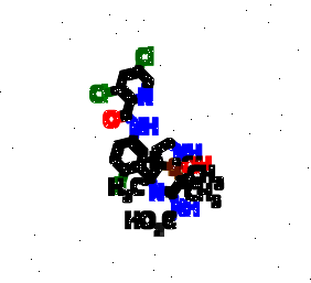 CC1(C)C(NC(=O)O)=N[C@](C)(c2cc(NC(=O)c3ncc(Cl)cc3Cl)ccc2F)[C@@H]2CCN[S@@]21O